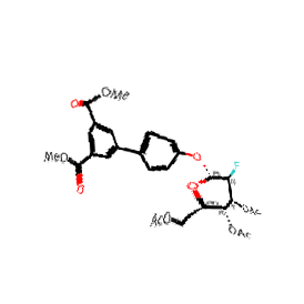 COC(=O)c1cc(C(=O)OC)cc(-c2ccc(O[C@H]3O[C@H](COC(C)=O)[C@@H](OC(C)=O)[C@H](OC(C)=O)[C@@H]3F)cc2)c1